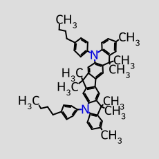 CCCCc1ccc(N2c3ccc(C)cc3C(C)(C)c3cc4c(cc32)C(C)(C)c2cc3c(cc2-4)C(C)(C)c2cc(C)ccc2N3c2ccc(CCCC)cc2)cc1